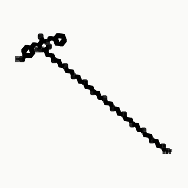 CCCOCCOCCOCCOCCOCCOCCOCCOCCOCCOCCOCCOCCC(=O)N[C@@H](Cc1ccc(O)cc1)C(=O)OCc1ccccc1